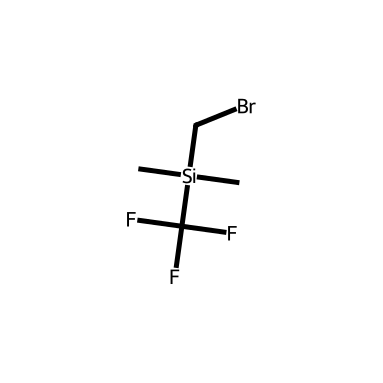 C[Si](C)(CBr)C(F)(F)F